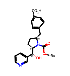 CC(C)(C)OC(=O)N1[C@H](Cc2ccc(C(=O)O)cc2)CC[C@@H]1[C@H](O)c1cccnc1